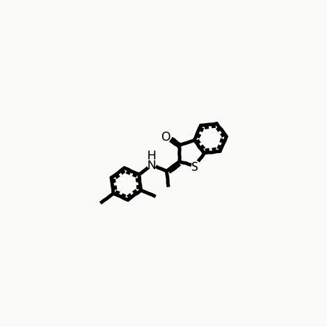 CC(Nc1ccc(C)cc1C)=C1Sc2ccccc2C1=O